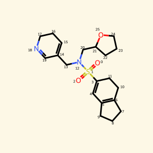 O=S(=O)(C1=CC2=C(CCC2)CC1)N(CC1=CCCN=C1)CC1CCCO1